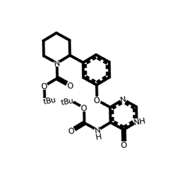 CC(C)(C)OC(=O)Nc1c(Oc2cccc(C3CCCCN3C(=O)OC(C)(C)C)c2)nc[nH]c1=O